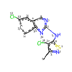 Cc1nsc(Nc2ncc3cc(Cl)ccc3n2)c1Cl